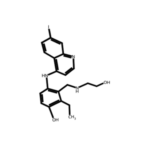 CCc1c(O)ccc(Nc2ccnc3cc(I)ccc23)c1CNCCO